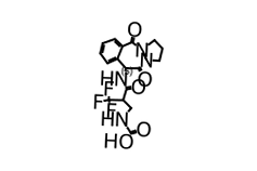 O=C(O)NCC(C(=O)N[C@@H]1C(=O)N2CCCN2C(=O)c2ccccc21)C(F)(F)F